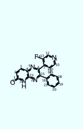 O=c1ccc2nc(-c3c(F)cncc3F)c(-c3ccccc3)nc2[nH]1